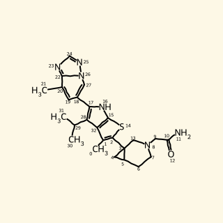 Cc1c(C23CC2CCN(CC(N)=O)C3)sc2[nH]c(-c3cc(C)c4ncnn4c3)c(C(C)C)c12